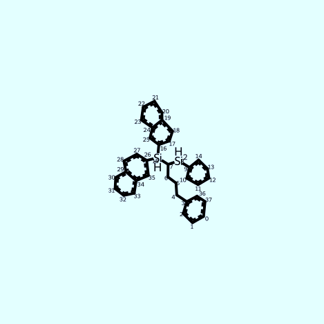 c1ccc(CCCC([SiH2]c2ccccc2)[SiH](c2ccc3ccccc3c2)c2ccc3ccccc3c2)cc1